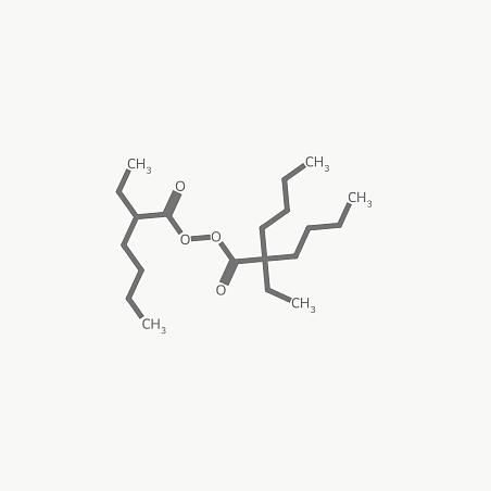 CCCCC(CC)C(=O)OOC(=O)C(CC)(CCCC)CCCC